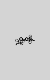 C=CCN1C(=O)c2ccc(Oc3cccc4c3C(=O)N(CC=C)C4=O)cc2C1=O